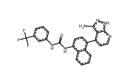 Nc1n[nH]c2nccc(-c3ccc(NC(=O)Nc4cccc(C(F)(F)F)c4)c4ccccc34)c12